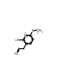 CSc1ccc(CC=O)c(F)n1